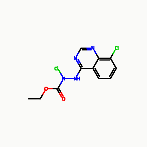 CCOC(=O)N(Cl)Nc1ncnc2c(Cl)cccc12